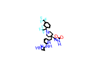 O=c1[nH]nc(C2(Cc3cccc(Nc4cc[nH]n4)n3)CCN(C(c3cccc(C(F)(F)F)c3)C(F)(F)F)CC2)o1